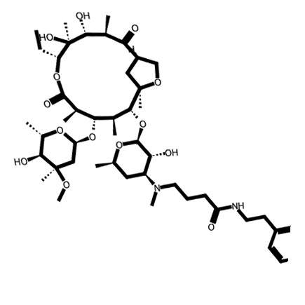 CC[C@H]1OC(=O)[C@H](C)[C@@H](O[C@H]2C[C@@](C)(OC)[C@@H](O)[C@H](C)O2)[C@H](C)[C@@H](O[C@@H]2O[C@H](C)C[C@H](N(C)CCCC(=O)NCCc3ccc(F)cc3)[C@H]2O)[C@@]2(C)C[C@@H](CO2)C(=O)[C@H](C)[C@@H](O)[C@]1(C)O